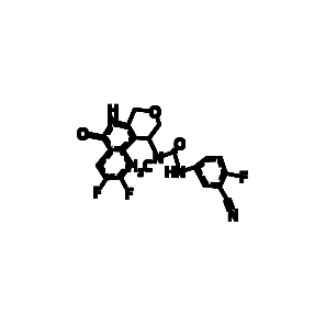 CN(C(=O)Nc1ccc(F)c(C#N)c1)C1COCc2[nH]c(=O)c3cc(F)c(F)cc3c21